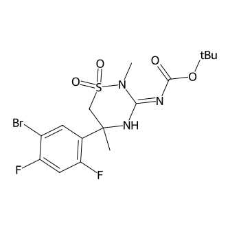 CN1/C(=N\C(=O)OC(C)(C)C)NC(C)(c2cc(Br)c(F)cc2F)CS1(=O)=O